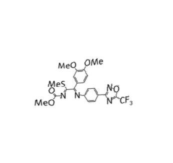 COC(=O)N=C(SC)C(=Nc1ccc(-c2noc(C(F)(F)F)n2)cc1)c1ccc(OC)c(OC)c1